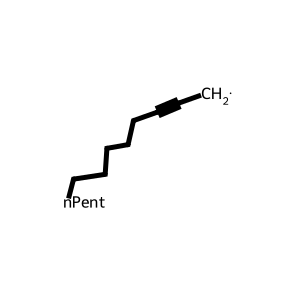 [CH2]C#CCCCCCCCCCC